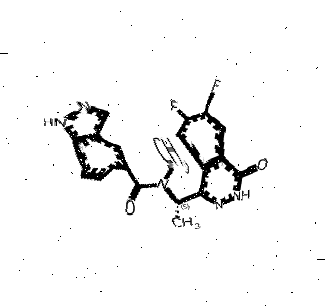 C[C@@H](c1n[nH]c(=O)c2cc(F)c(F)cc12)N(C)C(=O)c1ccc2[nH]ncc2c1